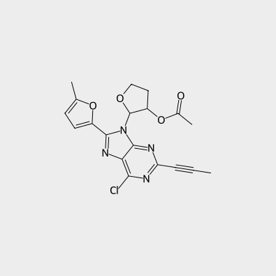 CC#Cc1nc(Cl)c2nc(-c3ccc(C)o3)n(C3OCCC3OC(C)=O)c2n1